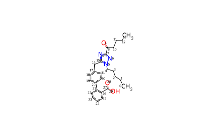 CCCCCn1nc(C(=O)CCCC)nc1Cc1ccc(-c2ccccc2C(=O)O)cc1